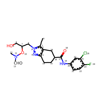 Cc1c2c(nn1CC(CO)ON(C)C=O)CCC(C(=O)Nc1ccc(F)c(Cl)c1)C2